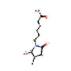 CC1CC(=O)N(CCCCCC(N)=O)C1O